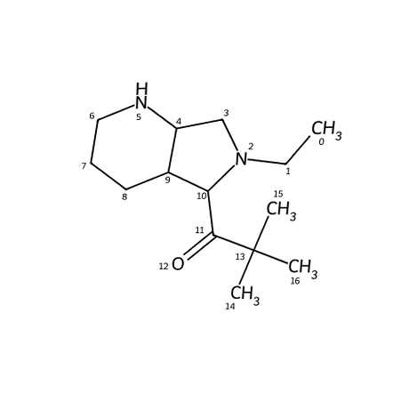 CCN1CC2NCCCC2C1C(=O)C(C)(C)C